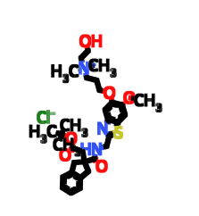 COc1cc2sc(CNC(=O)C3(CC(=O)OC(C)(C)C)Cc4ccccc4C3)nc2cc1OCCC[N+](C)(C)CCO.[Cl-]